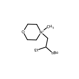 CCCCC(CC)C[N+]1(C)CCOCC1